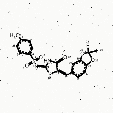 Cc1ccc(S(=O)(=O)N=C2NC(=O)C(=Cc3ccc4c(c3)OC(F)(F)O4)S2)cc1